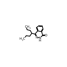 CCCC(CCC)c1n[nH]c(=O)c2ccccc12